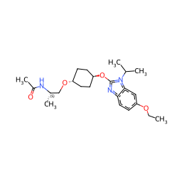 CCOc1ccc2nc(O[C@H]3CC[C@H](OC[C@H](C)NC(C)=O)CC3)n(C(C)C)c2c1